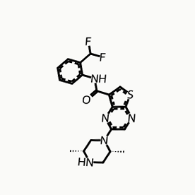 C[C@@H]1CN(c2cnc3scc(C(=O)Nc4ccccc4C(F)F)c3n2)[C@H](C)CN1